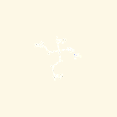 N.O=C(O)CCC(P)(CC(=O)O)C(=O)O